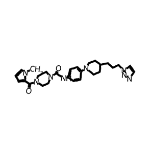 Cn1cccc1C(=O)N1CCN(C(=O)Nc2ccc(N3CCC(CCCn4ccnn4)CC3)cc2)CC1